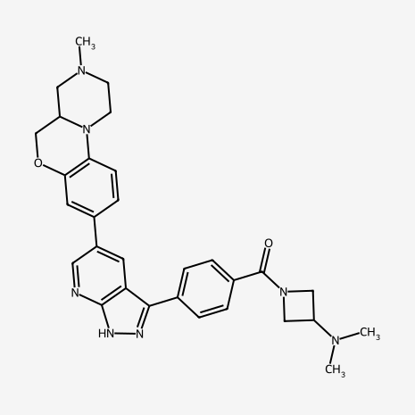 CN1CCN2c3ccc(-c4cnc5[nH]nc(-c6ccc(C(=O)N7CC(N(C)C)C7)cc6)c5c4)cc3OCC2C1